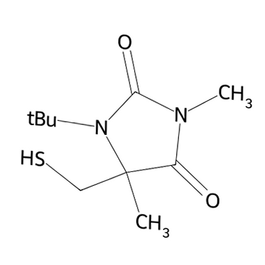 CN1C(=O)N(C(C)(C)C)C(C)(CS)C1=O